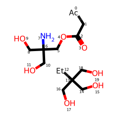 CC(=O)CC(=O)OCC(N)(CO)CO.CCC(CO)(CO)CO